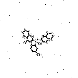 Cc1ccc2c(c1)C(O)(Cc1ccc3ccccc3n1)c1nc3ccccc3c(=O)n1-2